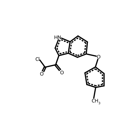 Cc1ccc(Oc2ccc3[nH]cc(C(=O)C(=O)Cl)c3c2)cc1